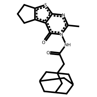 Cc1nc2sc3c(c2c(=O)n1NC(=O)CC12CC4CC(CC(C4)C1)C2)CCC3